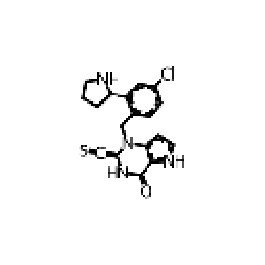 O=C1NC(=C=S)N(Cc2ccc(Cl)cc2[C@H]2CCCN2)c2cc[nH]c21